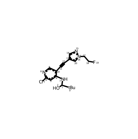 CC(C)(C)C(O)Nc1cc(Cl)ncc1C#Cc1cnn(CCF)c1